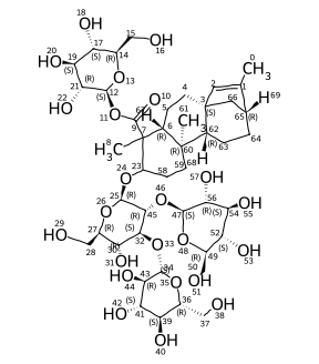 CC1=C[C@]23CC[C@H]4C(C)(C(=O)O[C@@H]5O[C@H](CO)[C@@H](O)[C@H](O)[C@H]5O)C(O[C@@H]5O[C@H](CO)[C@@H](O)[C@H](O[C@@H]6O[C@H](CO)[C@@H](O)[C@H](O)[C@H]6O)[C@H]5O[C@@H]5O[C@H](CO)[C@@H](O)[C@H](O)[C@H]5O)CC[C@]4(C)[C@H]2CC[C@@H]1C3